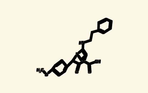 COc1ccc(C2C(=O)N(C(=O)O)C3=C(NCCc4ccccc4)N2C3)cc1